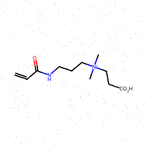 C=CC(=O)NCCC[N+](C)(C)CCC(=O)O